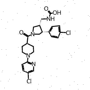 O=C(O)NC[C@H]1CN(C(=O)C2CCN(c3ccc(Cl)cn3)CC2)C[C@H]1c1ccc(Cl)cc1